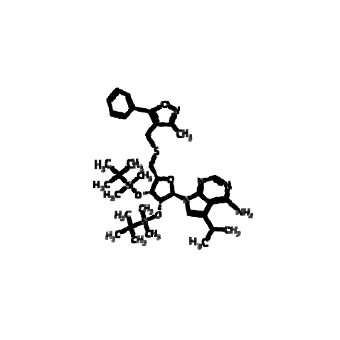 Cc1noc(-c2ccccc2)c1CSC[C@H]1O[C@@H](n2cc(C(C)C)c3c(N)ncnc32)[C@H](O[Si](C)(C)C(C)(C)C)[C@@H]1O[Si](C)(C)C(C)(C)C